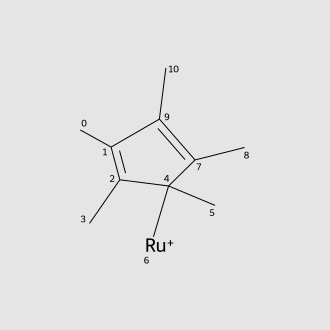 CC1=C(C)[C](C)([Ru+])C(C)=C1C